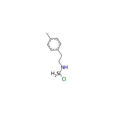 Cc1ccc(CCN[SiH2]Cl)cc1